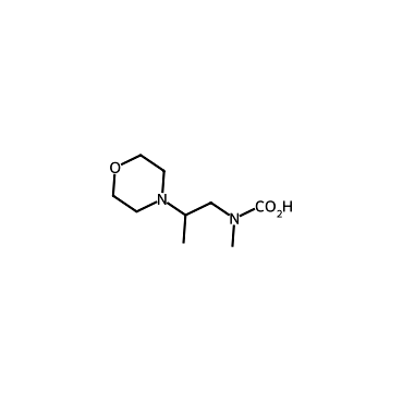 CC(CN(C)C(=O)O)N1CCOCC1